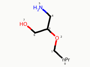 CCCCOC(CN)CO